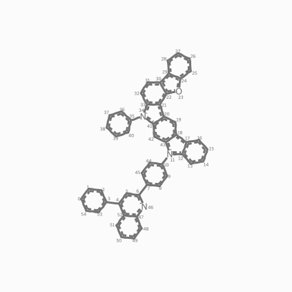 c1ccc(-c2cc(-c3ccc(-n4c5ccccc5c5cc6c7c8oc9ccccc9c8ccc7n(-c7ccccc7)c6cc54)cc3)nc3ccccc23)cc1